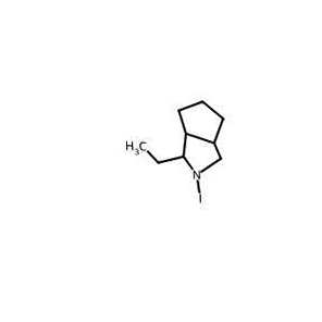 CCC1C2CCCC2CN1I